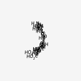 CC12N=C(CNc3ccc(C(=O)NCCCC(=O)N[C@@H](CC(=O)O)C(=O)NCC(=O)N[C@@H](CC(=O)O)C(=O)NCC(=O)O)cc3)C=NC1N=C(N)NC2=O